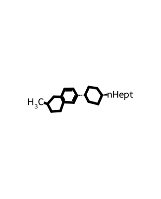 CCCCCCC[C@H]1CC[C@H](c2ccc3c(c2)CCC(C)C3)CC1